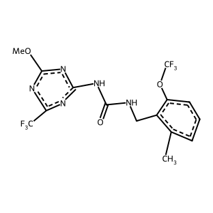 COc1nc(NC(=O)NCc2c(C)cccc2OC(F)(F)F)nc(C(F)(F)F)n1